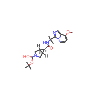 COc1cccn2c(C(C)(C)NC(=O)[C@H]3[C@@H]4CN(C(O)OC(C)(C)C)C[C@@H]43)ncc12